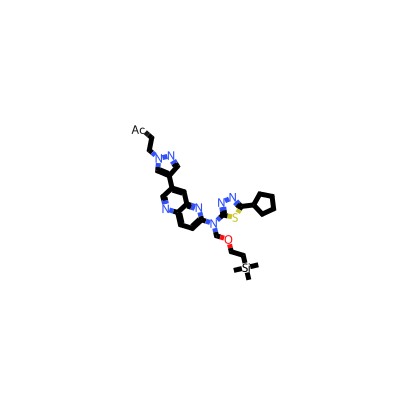 CC(=O)CCn1cc(-c2cnc3ccc(N(COCC[Si](C)(C)C)c4nnc(C5CCCC5)s4)nc3c2)cn1